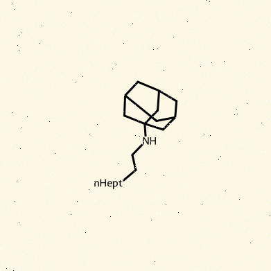 CCCCCCCCCNC12CC3CC(CC(C3)C1)C2